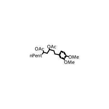 CCCCCC(CC(CCc1ccc(OC)c(OC)c1)OC(C)=O)OC(C)=O